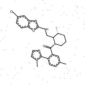 Cc1ccc(-c2nccn2C)c(C(=O)N2CCC[C@@H](C)C2CNc2nc3cc(Cl)ccc3o2)c1